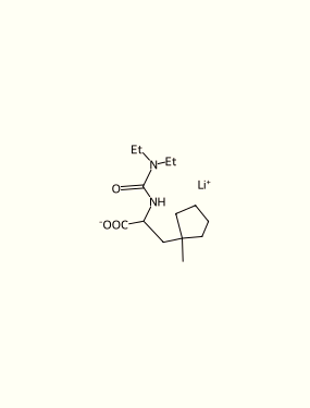 CCN(CC)C(=O)NC(CC1(C)CCCC1)C(=O)[O-].[Li+]